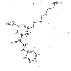 CCCCCCCCCCCCCCCCCC(=O)NC(CCC(=O)O)C(=O)OCc1ccccc1